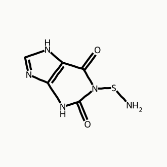 NSn1c(=O)[nH]c2nc[nH]c2c1=O